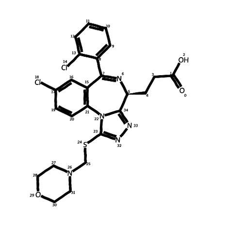 O=C(O)CC[C@@H]1N=C(c2ccccc2Cl)c2cc(Cl)ccc2-n2c(SCN3CCOCC3)nnc21